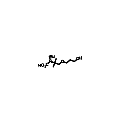 CC(C)(C)N(C(=O)O)C(C)(C)COCCCO